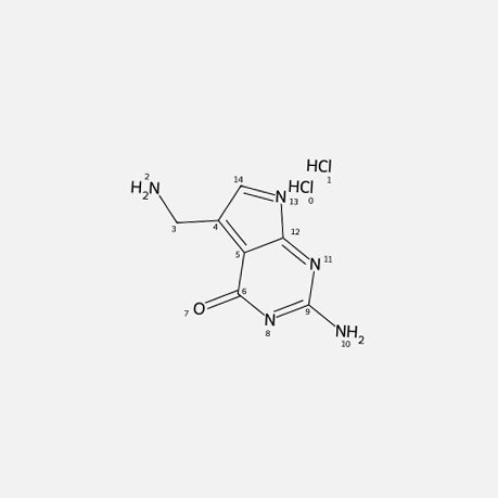 Cl.Cl.NCC1=C2C(=O)N=C(N)N=C2N=C1